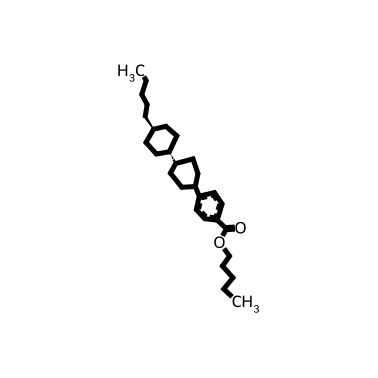 CCCCCOC(=O)c1ccc(C2CCC([C@H]3CC[C@H](CCCCC)CC3)CC2)cc1